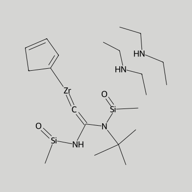 CCNCC.CCNCC.C[Si](=O)NC(=[C]=[Zr][C]1=CC=CC1)N([Si](C)=O)C(C)(C)C